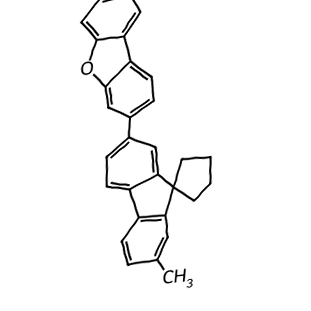 Cc1ccc2c(c1)C1(CCCC1)c1cc(-c3ccc4c(c3)oc3ccccc34)ccc1-2